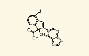 C[N+]1(C(=O)O)C(n2cnc3ncnc-3c2)=Cc2c(Cl)cccc21